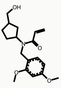 C=CC(=O)N(Cc1ccc(OC)cc1OC)C1CCC(CO)C1